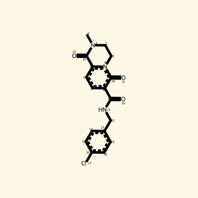 CN1CCn2c(ccc(C(=O)NCc3ccc(Cl)cc3)c2=O)C1=O